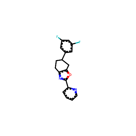 Fc1cc(F)cc(C2CCc3nc(-c4ccccn4)oc3C2)c1